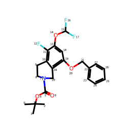 CC(C)(C)OC(=O)N1CCc2c(F)c(OC(F)F)cc(OCc3ccccc3)c2C1